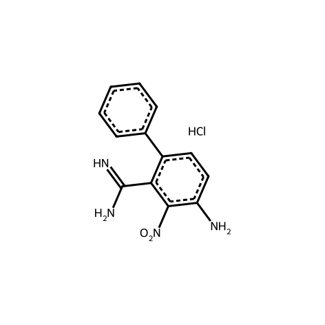 Cl.N=C(N)c1c(-c2ccccc2)ccc(N)c1[N+](=O)[O-]